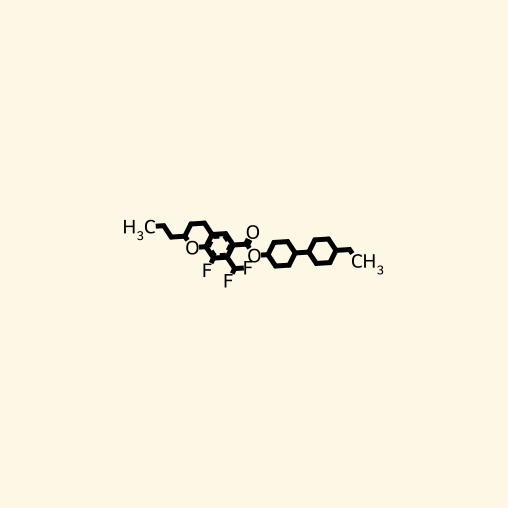 CCCC1CCc2cc(C(=O)OC3CCC(C4CCC(CC)CC4)CC3)c(C(F)F)c(F)c2O1